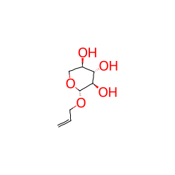 C=CCO[C@@H]1OC[C@@H](O)[C@H](O)[C@H]1O